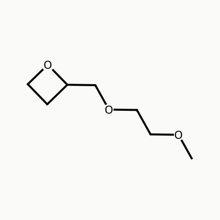 COCCOCC1CCO1